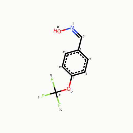 O/N=C\c1ccc(OC(F)(F)F)cc1